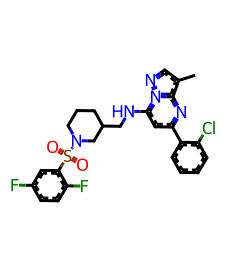 Cc1cnn2c(NCC3CCCN(S(=O)(=O)c4cc(F)ccc4F)C3)cc(-c3ccccc3Cl)nc12